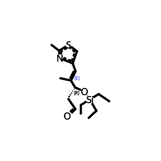 CC[Si](CC)(CC)O[C@H](CC=O)/C(C)=C/c1csc(C)n1